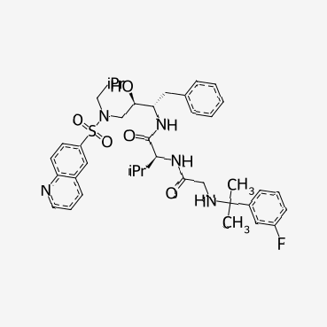 CC(C)CN(C[C@@H](O)[C@H](Cc1ccccc1)NC(=O)[C@@H](NC(=O)CNC(C)(C)c1cccc(F)c1)C(C)C)S(=O)(=O)c1ccc2ncccc2c1